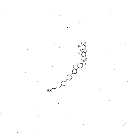 CCCCCC1CCC(C2CCC(c3ccc(C4CCC(C(F)(F)Oc5cc(F)c(C(F)(F)C(F)C(F)(F)F)c(F)c5)CC4)c(F)c3)CC2)CC1